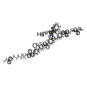 C=CC(=O)OCCCCCCCCOC(=O)Oc1ccc(-c2ccc(OC(=O)c3ccc(OCc4ccc(OC(=O)OCCCOC(=O)C=C)cc4)c(/C=N/N(CCCS)c4nc5ccccc5s4)c3)cc2Cl)cc1